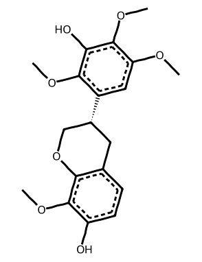 COc1cc([C@H]2COc3c(ccc(O)c3OC)C2)c(OC)c(O)c1OC